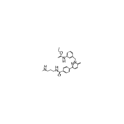 C=C(Nc1cccc(CN2N=C(c3ccc(C(=O)NCCCNC)cc3)C=CC2=C)c1)OCC